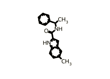 Cc1ccc2[nH]c(C(=O)NC(C)c3ccccc3)cc2c1